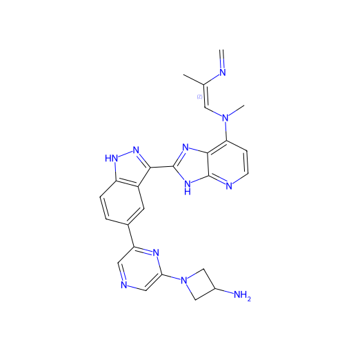 C=N/C(C)=C\N(C)c1ccnc2[nH]c(-c3n[nH]c4ccc(-c5cncc(N6CC(N)C6)n5)cc34)nc12